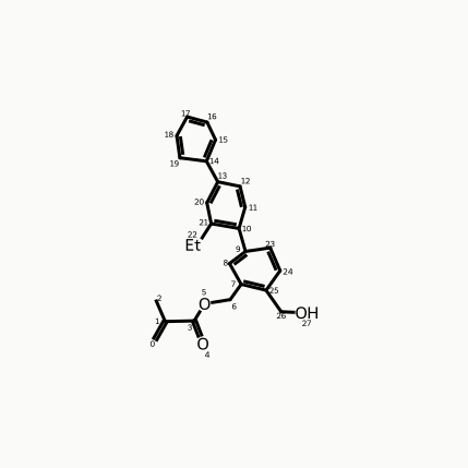 C=C(C)C(=O)OCc1cc(-c2ccc(-c3ccccc3)cc2CC)ccc1CO